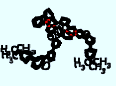 CC(C)(C)c1ccc(-c2ccc3oc4ccc(-c5ccc6c(c5)Oc5cc(-n7c8ccccc8c8ccccc87)cc7c5B6c5ccc(-c6ccc8oc9ccc(-c%10ccc(C(C)(C)C)cc%10)cc9c8c6)cc5N7c5c(-c6ccccc6)cccc5-c5ccccc5)cc4c3c2)cc1